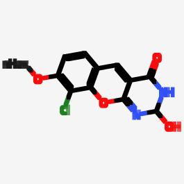 CCCCCCOc1ccc2c(c1Cl)OC1=NC(O)NC(=O)C1=C2